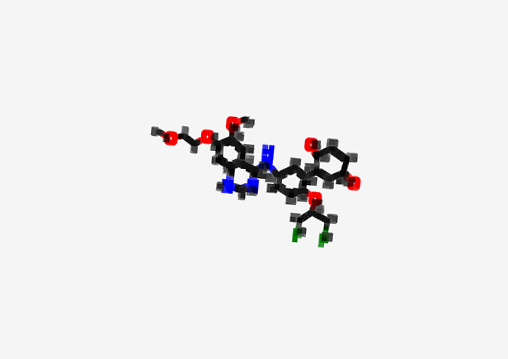 COCCOc1cc2ncnc(Nc3ccc(OC(CF)CF)c(C4=CC(=O)C=CC4=O)c3)c2cc1OC